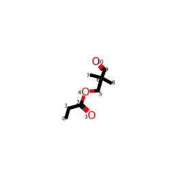 CCC(=O)OCC(C)(C)C=O